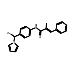 C/C(=C\c1ccccc1)C(=O)Nc1ccc(C(C(C)C)n2ccnc2)cc1